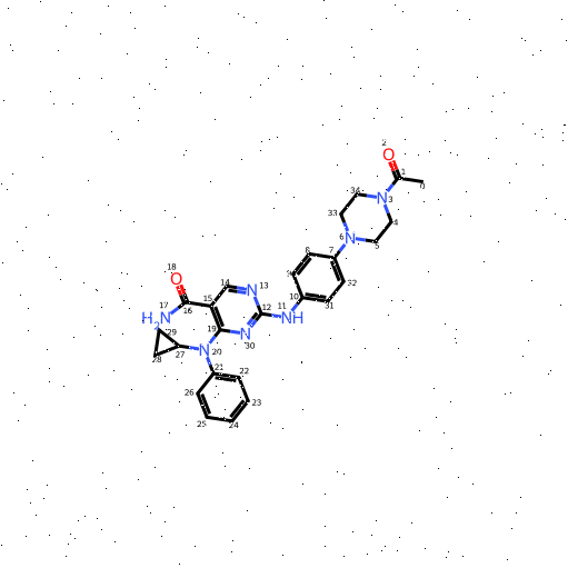 CC(=O)N1CCN(c2ccc(Nc3ncc(C(N)=O)c(N(c4ccccc4)C4CC4)n3)cc2)CC1